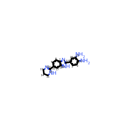 Nc1ccc(-c2nc3ccc(C4=NCCCN4)cc3[nH]2)cc1N